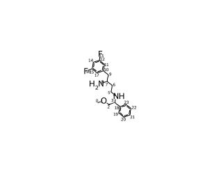 COC[C@@H](NCC[C@@H](N)Cc1cc(F)cc(F)c1)c1ccccc1